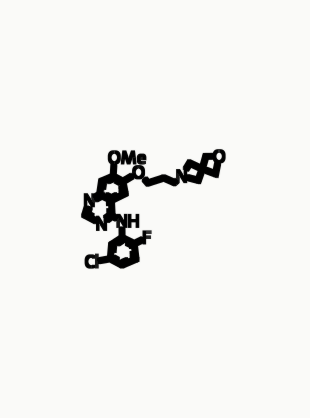 COc1cc2ncnc(Nc3cc(Cl)ccc3F)c2cc1OCCCN1CC2(COC2)C1